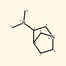 CN(C)C1CN2CCC1C2